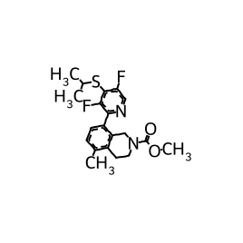 COC(=O)N1CCc2c(C)ccc(-c3ncc(F)c(SC(C)C)c3F)c2C1